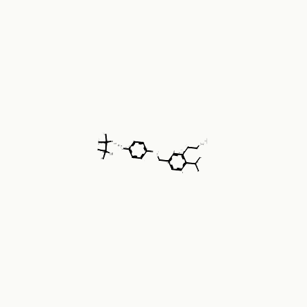 CC(C)c1ccc(COc2ccc(B3OC(C)(C)C(C)(C)O3)cc2)cc1CCO